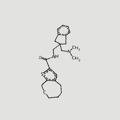 CN(C)CC1(CNC(=O)c2cc3c(s2)CCCCCC3)Cc2ccccc2C1